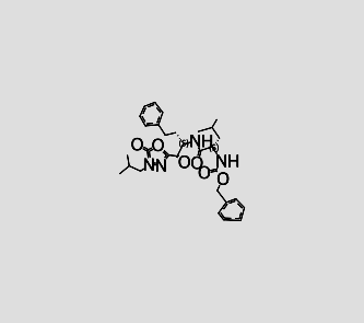 CC(C)C[C@H](NC(=O)OCc1ccccc1)C(=O)N[C@@H](CCc1ccccc1)C(=O)c1nn(CC(C)C)c(=O)o1